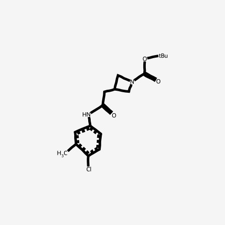 Cc1cc(NC(=O)CC2CN(C(=O)OC(C)(C)C)C2)ccc1Cl